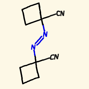 N#CC1(N=NC2(C#N)CCC2)CCC1